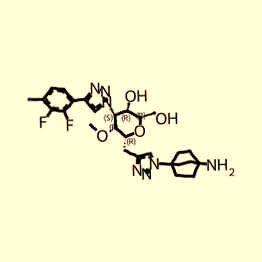 CO[C@@H]1[C@@H](n2cc(-c3ccc(C)c(F)c3F)nn2)[C@@H](O)[C@@H](CO)O[C@@H]1Cc1cn(C23CCC(N)(CC2)CC3)nn1